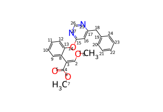 CO/C=C(/C(=O)OC)c1ccccc1Oc1cc(Cc2ccccc2)ncn1